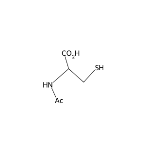 [CH2]C(=O)NC(CS)C(=O)O